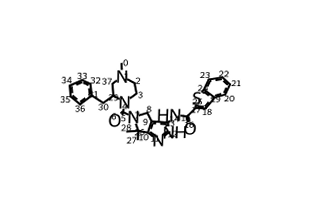 CN1CCN(C(=O)N2Cc3c(n[nH]c3NC(=O)c3cc4ccccc4s3)C2(C)C)C(Cc2ccccc2)C1